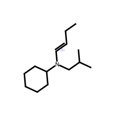 CC/C=C/N(CC(C)C)C1CCCCC1